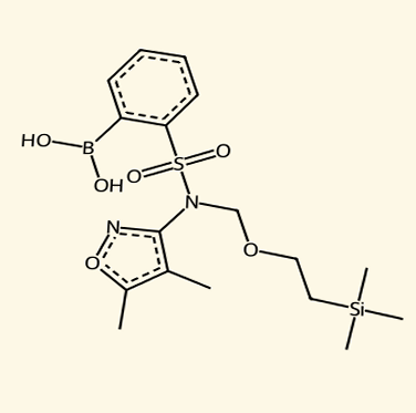 Cc1onc(N(COCC[Si](C)(C)C)S(=O)(=O)c2ccccc2B(O)O)c1C